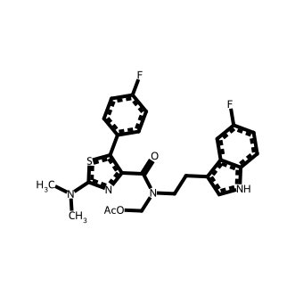 CC(=O)OCN(CCc1c[nH]c2ccc(F)cc12)C(=O)c1nc(N(C)C)sc1-c1ccc(F)cc1